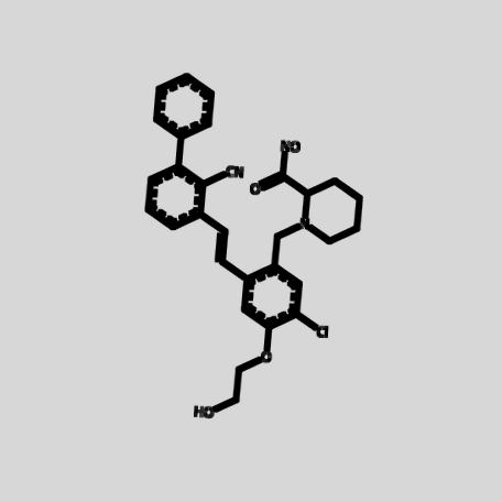 N#Cc1c(/C=C/c2cc(OCCO)c(Cl)cc2CN2CCCCC2C(=O)N=O)cccc1-c1ccccc1